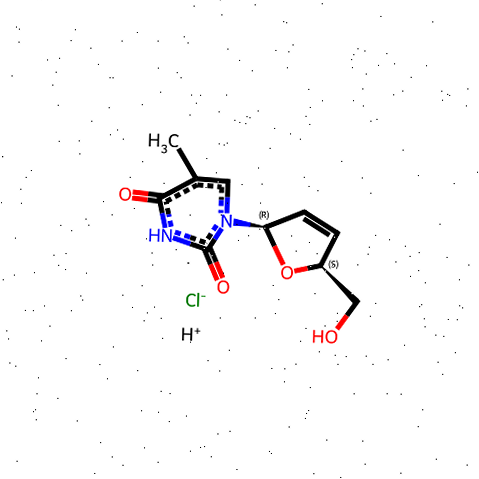 Cc1cn([C@H]2C=C[C@@H](CO)O2)c(=O)[nH]c1=O.[Cl-].[H+]